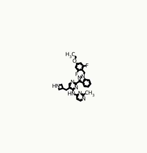 CCOc1cc(F)c(Cn2nc(-c3ncc(CC4CNC4)c(Nc4ccnc(C)n4)n3)c3ccccc32)c(F)c1